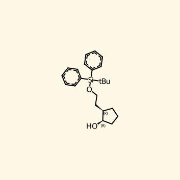 CC(C)(C)[Si](OCC[C@H]1CCC[C@H]1O)(c1ccccc1)c1ccccc1